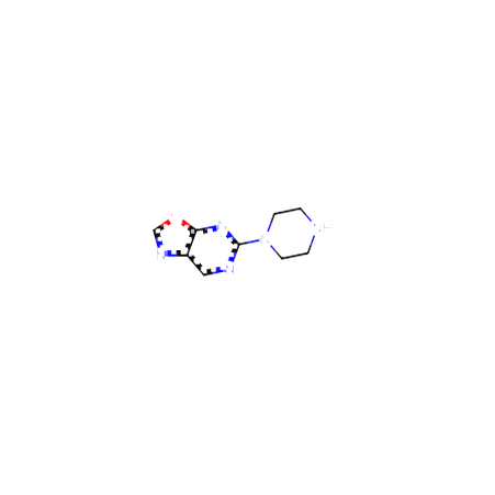 c1nc2cnc(N3CCNCC3)nc2o1